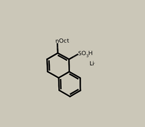 CCCCCCCCc1ccc2ccccc2c1S(=O)(=O)O.[Li]